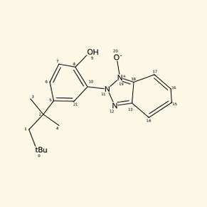 CC(C)(C)CC(C)(C)c1ccc(O)c(-n2nc3ccccc3[n+]2[O-])c1